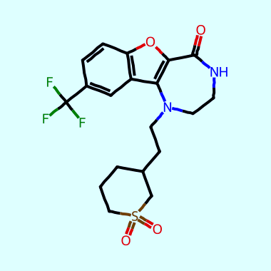 O=C1NCCN(CCC2CCCS(=O)(=O)C2)c2c1oc1ccc(C(F)(F)F)cc21